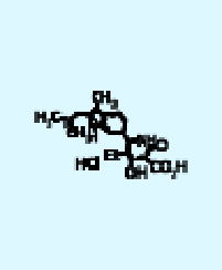 CCc1c(-c2ccc3c(C)c(CN(C)C)[nH]c3c2)[nH]c(=O)c(C(=O)O)c1O.Cl